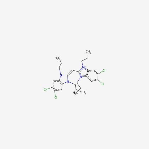 CCCN1C(=Cc2n(CCC)c3cc(Cl)c(Cl)cc3[n+]2CCC)N(CCC)c2cc(Cl)c(Cl)cc21